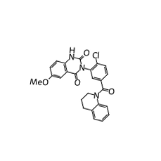 COc1ccc2[nH]c(=O)n(-c3cc(C(=O)N4CCCc5ccccc54)ccc3Cl)c(=O)c2c1